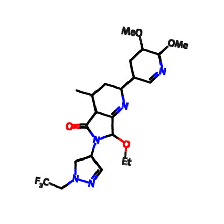 CCOC1C2=NC(C3C=NC(OC)C(OC)C3)CC(C)C2C(=O)N1C1C=NN(CC(F)(F)F)C1